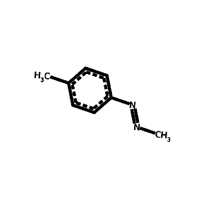 CN=Nc1ccc(C)cc1